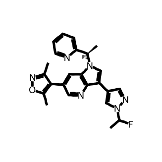 Cc1noc(C)c1-c1cnc2c(-c3cnn(C(C)F)c3)cn([C@H](C)c3ccccn3)c2c1